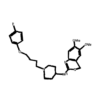 COc1cc2c(cc1OC)N=C(NC1CCN(CCCCOc3ccc(F)cc3)CC1)SC2